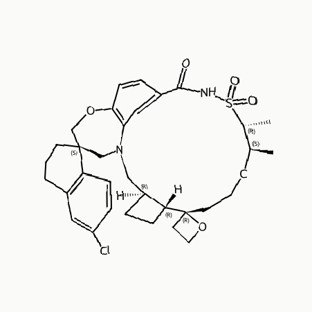 C[C@@H]1[C@@H](C)CCC[C@@]2(CCO2)[C@@H]2CC[C@H]2CN2C[C@@]3(CCCc4cc(Cl)ccc43)COc3ccc(cc32)C(=O)NS1(=O)=O